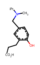 CC(C)N(C)Cc1ccc(O)c(CCC(=O)O)c1